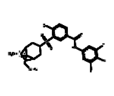 CC(=O)NC[C@@]1(O)C2CC(S(=O)(=O)c3cc(C(=O)Nc4cc(F)c(F)c(F)c4)ccc3Cl)CC1[C@@H](C)C2